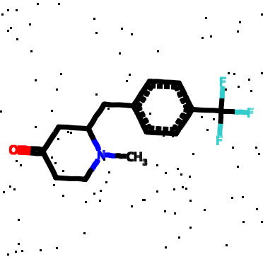 CN1CCC(=O)CC1Cc1ccc(C(F)(F)F)cc1